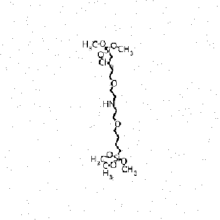 CO[Si](CCCCOCCNCCOCCCC[Si](OC)(OC)OC)(OC)OC